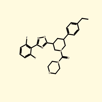 CCc1ccc(C2CC(c3nc(-c4c(F)cccc4F)no3)CN(C(=O)N3CCOCC3)C2)cc1